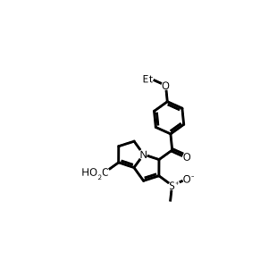 CCOc1ccc(C(=O)C2C([S+](C)[O-])=CC3=C(C(=O)O)CCN32)cc1